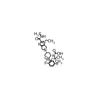 CCn1c(C(=O)NC)nc2c1CN([C@H]1CO[C@H](c3cc(F)ccc3F)[C@@H](N(C(=O)O)C(C)(C)C)C1)C2